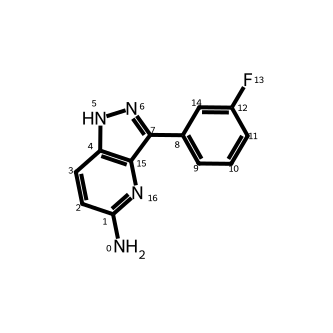 Nc1ccc2[nH]nc(-c3cccc(F)c3)c2n1